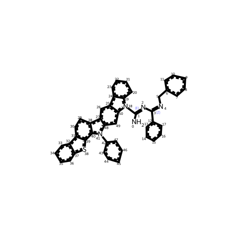 N/C(=N\C(=N/Cc1ccccc1)c1ccccc1)n1c2ccccc2c2cc3c4ccc5c6ccccc6sc5c4n(-c4ccccc4)c3cc21